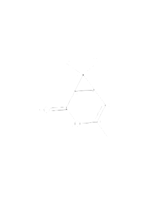 CC1=CC2C(C(=O)O1)C2(C)C